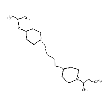 CCC(C)N1CCN(CCCC[C@H]2CC[C@H](OC(C)C)CC2)CC1